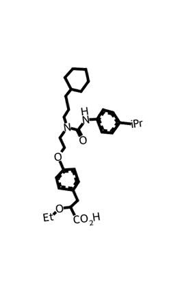 CCOC(Cc1ccc(OCCN(CCCC2CCCCC2)C(=O)Nc2ccc(C(C)C)cc2)cc1)C(=O)O